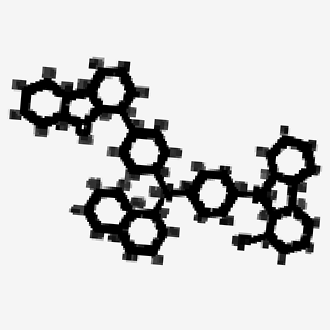 Fc1cccc2c3ccccc3n(-c3ccc(N(c4ccc(-c5cccc6c5oc5ccccc56)cc4)c4cccc5ccccc45)cc3)c12